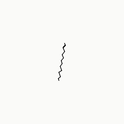 CC/C=C/CCCCCCCCCCCl